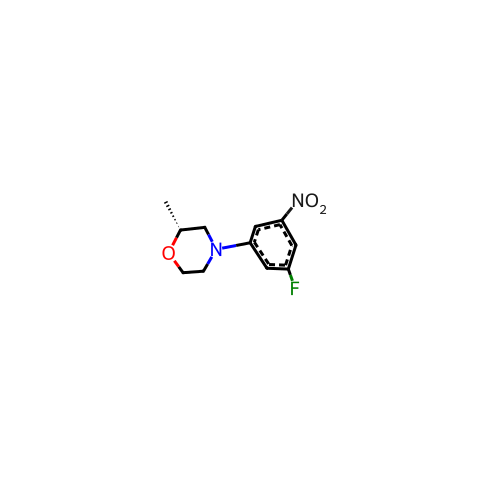 C[C@@H]1CN(c2cc(F)cc([N+](=O)[O-])c2)CCO1